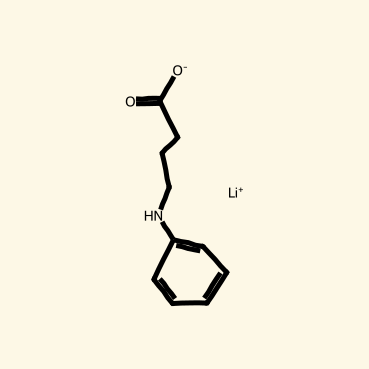 O=C([O-])CCCNc1ccccc1.[Li+]